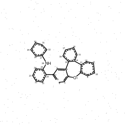 C=C(/C=C1\C(=C/C)Oc2ccccc2-c2ccccc21)c1ccccc1Nc1ccccc1